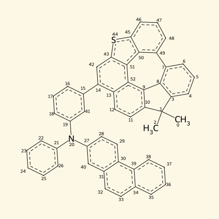 CC1(C)c2cccc3c2-c2c1ccc1c(-c4cccc(N(c5ccccc5)c5ccc6c(ccc7ccccc76)c5)c4)cc4sc5cccc-3c5c4c21